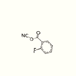 N#COC(=O)c1ccccc1F